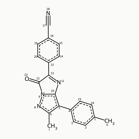 Cc1ccc(-c2c(C)nn3c2N=C(c2ccc(C#N)cc2)C3=O)cc1